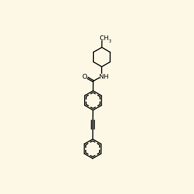 CC1CCC(NC(=O)c2ccc(C#Cc3ccccc3)cc2)CC1